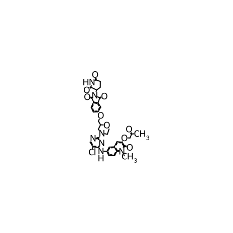 CC(=O)COc1cc2cc(Nc3nc(N4CCOC(COc5ccc6c(c5)C(=O)N(C5CCC(=O)NC5=O)C6=O)C4)ncc3Cl)ccc2n(C)c1=O